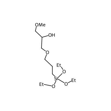 CCO[Si](CCCOCC(O)COC)(OCC)OCC